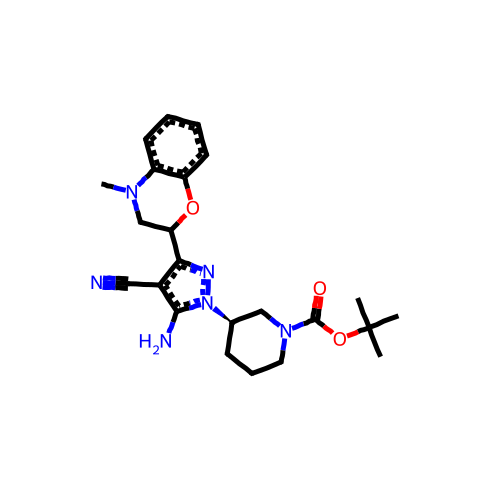 CN1CC(c2nn([C@@H]3CCCN(C(=O)OC(C)(C)C)C3)c(N)c2C#N)Oc2ccccc21